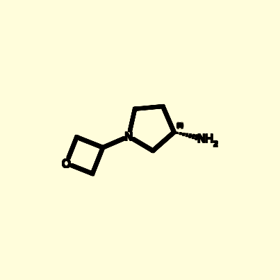 N[C@H]1CCN(C2COC2)C1